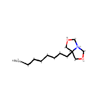 CCCCCCCCCCCCCCCCC12COCN1COC2